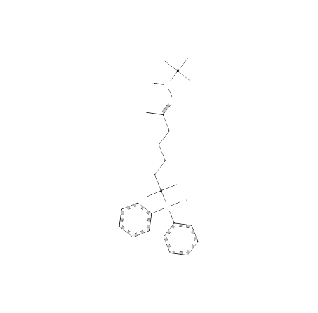 C/C(CCCCC(C)(C)[Si](O)(c1ccccc1)c1ccccc1)=N\[S+]([O-])C(C)(C)C